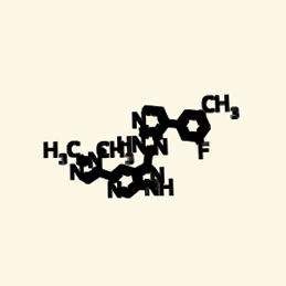 Cc1cc(F)cc(-c2ccnc3[nH]c(-c4n[nH]c5cnc(-c6cnc(C)n6C)cc45)nc23)c1